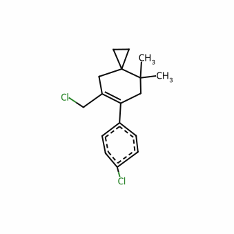 CC1(C)CC(c2ccc(Cl)cc2)=C(CCl)CC12CC2